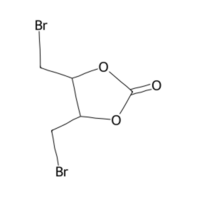 O=C1OC(CBr)C(CBr)O1